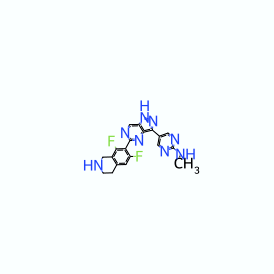 CNc1ncc(-c2n[nH]c3cnc(-c4c(F)cc5c(c4F)CNCC5)nc23)cn1